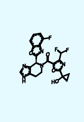 O=C(c1oc(C2(O)CC2)nc1C(F)F)N1CCc2[nH]cnc2[C@H]1c1nc2c(F)cccc2o1